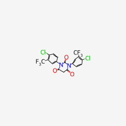 O=C1CC(=O)N(c2ccc(Cl)c(C(F)(F)F)c2)C(=O)N1c1ccc(Cl)c(C(F)(F)F)c1